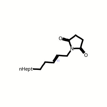 CCCCCCCCC/C=C/CN1C(=O)CCC1=O